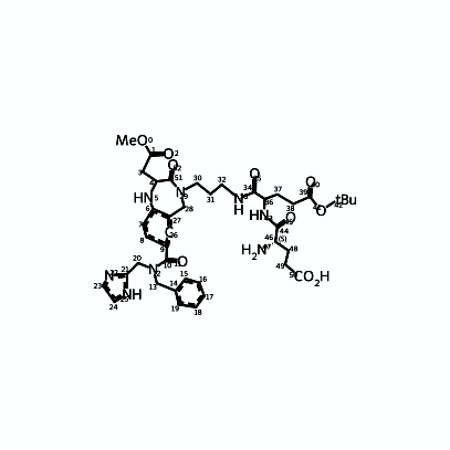 COC(=O)CC1Nc2ccc(C(=O)N(Cc3ccccc3)Cc3ncc[nH]3)cc2CN(CCCNC(=O)C(CCC(=O)OC(C)(C)C)NC(=O)[C@@H](N)CCC(=O)O)C1=O